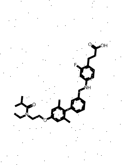 CCN(CCOc1cc(C)c(-c2cccc(CNc3ccc(CCC(=O)O)c(F)c3)c2)c(C)c1)C(=O)C(C)C